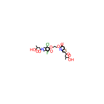 COc1cc2sc(C(=O)CC(C)C(=O)O)cc2nc1OCCCOc1c(Cl)c2c(c(F)c1OC)CN(C(=O)CC(C)C(=O)O)C2